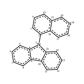 c1cc(-n2c3ccccc3c3ccccc32)c2ccncc2c1